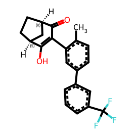 Cc1ccc(-c2cccc(C(F)(F)F)c2)cc1C1=C(O)[C@H]2CC[C@H](C2)C1=O